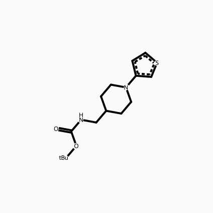 CC(C)(C)OC(=O)NCC1CCN(c2ccsc2)CC1